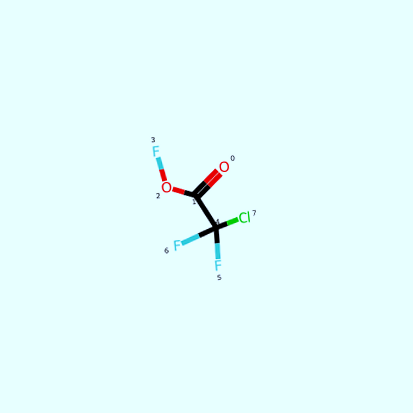 O=C(OF)C(F)(F)Cl